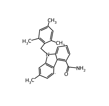 Cc1cc(C)c(Cn2c3cc(C)c[c]c3c3c(C(N)=O)cccc32)c(C)c1